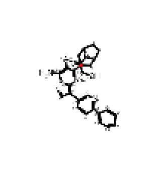 CC(=O)c1c(N2CC3CCC(C2)N3C(=O)[C@@H](C)O)nc2c(-c3ccc(-c4ccccc4)nc3)cnn2c1N